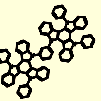 c1ccc(-n2c3ccccc3c3c2c2c4ccccc4n(-c4cccc(-n5c6ccccc6c6c7c(c8ccccc8n7-c7ccccc7)c7c(c8ccccc8n7-c7ccccc7)c65)c4)c2c2c4ccccc4n(-c4ccccc4)c32)cc1